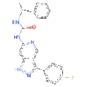 CC(NC(=O)Nc1cc2[nH]nc(-c3ccc(F)cc3)c2cn1)c1ccccc1